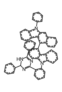 c1ccc(C2=NC(c3ccccc3-n3c4ccccc4c4c(-c5c6ccccc6cc6c5c5ccccc5n6-c5ccccc5)cccc43)=NC(c3ccccc3)N2)cc1